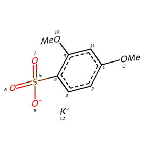 COc1ccc(S(=O)(=O)[O-])c(OC)c1.[K+]